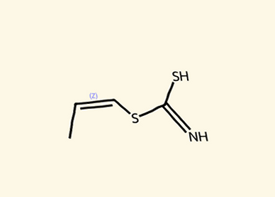 C/C=C\SC(=N)S